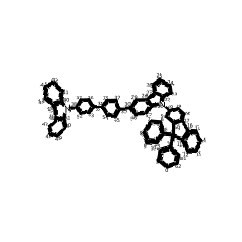 c1ccc(C2(c3ccccc3)c3ccccc3-c3ccc(-n4c5ccccc5c5cc(-c6ccc(-c7ccc(-n8c9ccccc9c9ccccc98)cc7)cc6)ccc54)cc32)cc1